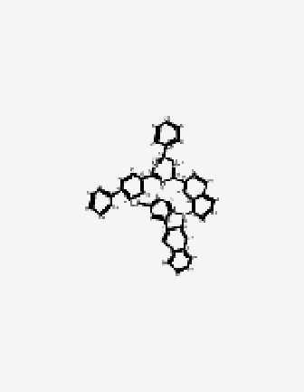 Clc1ccc2c(c1)c1cc3ccccc3cc1n2-c1cccc2ccc(-c3nc(-c4ccccc4)nc(-c4ccc(-c5ccccc5)cc4)n3)cc12